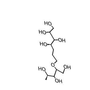 C[C@@H](O)C(O)C(CO)OCCC[C@@H](O)C(O)C(O)CO